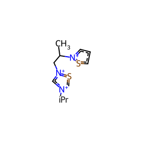 CC(C)[n+]1cs[n+](CC(C)[n+]2cccs2)c1